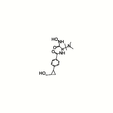 CN(C)C(C)(C)[C@H](NC(=O)c1ccc(C2CC2CO)cc1)C(=O)NO